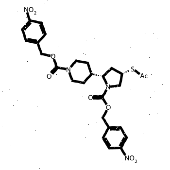 CC(=O)S[C@H]1C[C@@H](C2CCN(C(=O)OCc3ccc([N+](=O)[O-])cc3)CC2)N(C(=O)OCc2ccc([N+](=O)[O-])cc2)C1